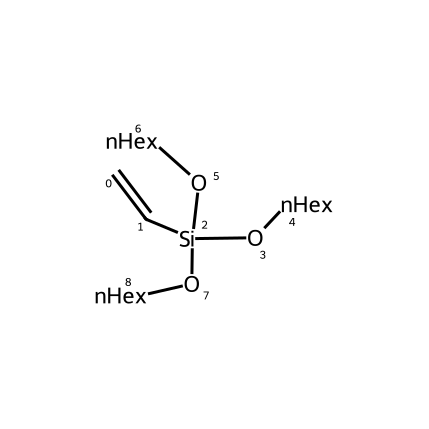 C=C[Si](OCCCCCC)(OCCCCCC)OCCCCCC